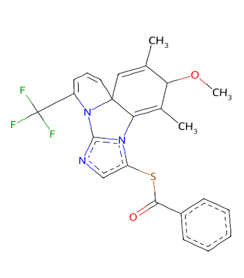 COC1C(C)=CC23C=CC=C(C(F)(F)F)N2c2ncc(SC(=O)c4ccccc4)n2C3=C1C